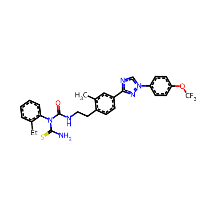 CCc1ccccc1N(C(=O)NCCc1ccc(-c2ncn(-c3ccc(OC(F)(F)F)cc3)n2)cc1C)C(N)=S